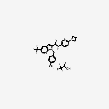 Cc1ccc(Cn2c(C(=O)Nc3ccc(N4CCC4)nc3)cc3cc(C(F)(F)F)cnc32)cc1.O=C(O)C(F)(F)F